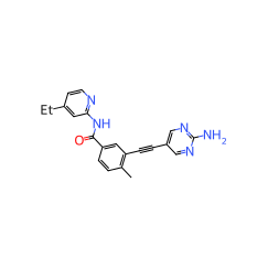 CCc1ccnc(NC(=O)c2ccc(C)c(C#Cc3cnc(N)nc3)c2)c1